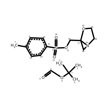 CC(C)(C)OC=O.Cc1ccc(S(=O)(=O)OCC23CN2CCO3)cc1